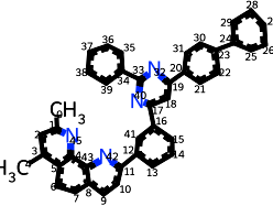 Cc1cc(C)c2ccc3ccc(-c4cccc(-c5cc(-c6ccc(-c7ccccc7)cc6)nc(-c6ccccc6)n5)c4)nc3c2n1